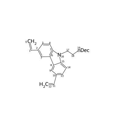 C=Cc1ccc2c(c1)c1cc(C=C)ccc1n2CCCCCCCCCCCC